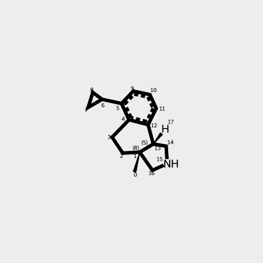 C[C@@]12CCc3c(C4CC4)cccc3[C@@H]1CNC2